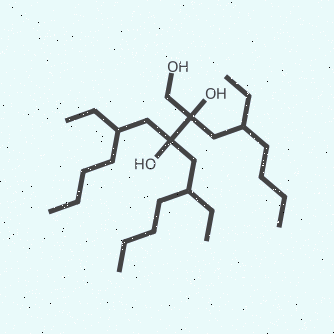 CCCCC(CC)CC(O)(CO)C(O)(CC(CC)CCCC)CC(CC)CCCC